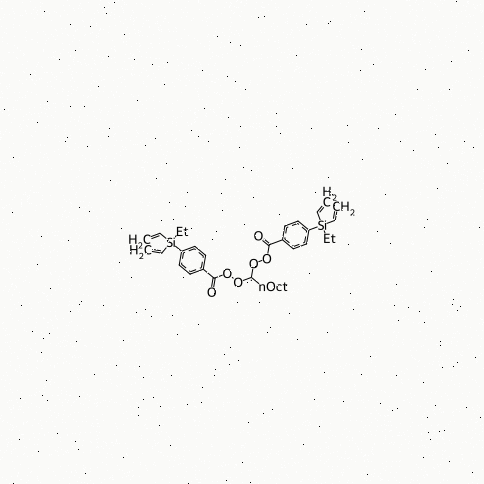 [CH2]CCCCCCC[C](OOC(=O)c1ccc([Si](C=C)(C=C)CC)cc1)OOC(=O)c1ccc([Si](C=C)(C=C)CC)cc1